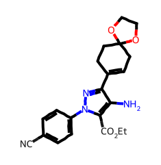 CCOC(=O)c1c(N)c(C2=CCC3(CC2)OCCO3)nn1-c1ccc(C#N)cc1